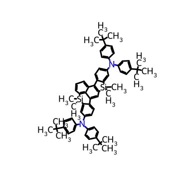 CC(C)(C)c1ccc(N(c2ccc(C(C)(C)C)cc2)c2ccc3c(c2)[Si](C)(C)c2cc4c5c(cccc5c2-3)[Si](C)(C)c2cc(N(c3ccc(C(C)(C)C)cc3)c3ccc(C(C)(C)C)cc3)ccc2-4)cc1